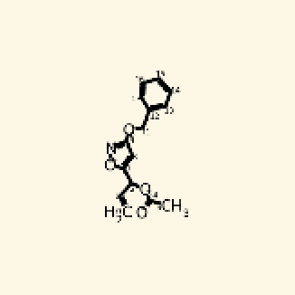 C=CC(OC(C)=O)c1cc(OCc2ccccc2)no1